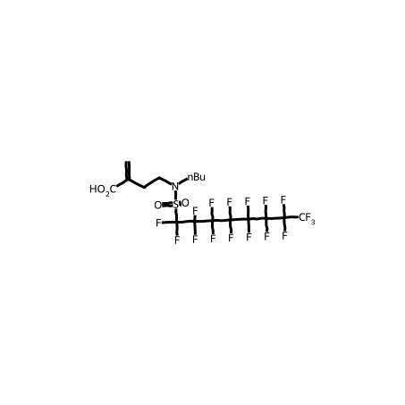 C=C(CCN(CCCC)S(=O)(=O)C(F)(F)C(F)(F)C(F)(F)C(F)(F)C(F)(F)C(F)(F)C(F)(F)C(F)(F)F)C(=O)O